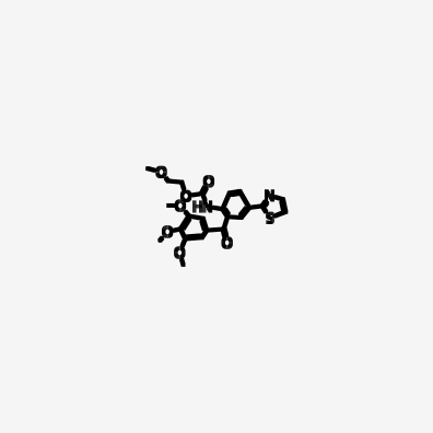 COCCOC(=O)Nc1ccc(-c2nccs2)cc1C(=O)c1cc(OC)c(OC)c(OC)c1